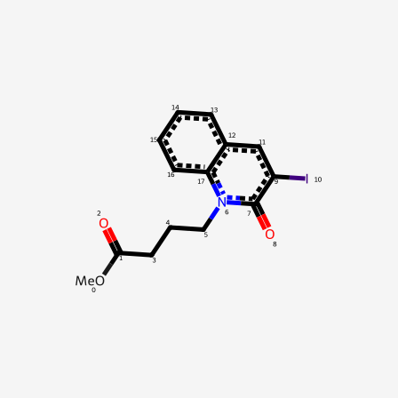 COC(=O)CCCn1c(=O)c(I)cc2ccccc21